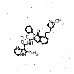 CC(NC(=O)c1c(N)nn2cccnc12)c1cc2cccc(CCc3cnn(C)c3)c2c(=O)n1-c1ccccc1